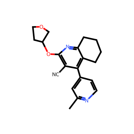 Cc1cc(-c2c(C#N)c(OC3CCOC3)nc3c2CCCC3)ccn1